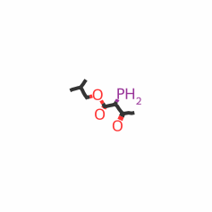 CC(=O)C(P)C(=O)OCC(C)C